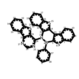 c1ccc(B2c3sc4ccccc4c3-c3sc4ccccc4c3N2c2ncnc3c2sc2ccccc23)cc1